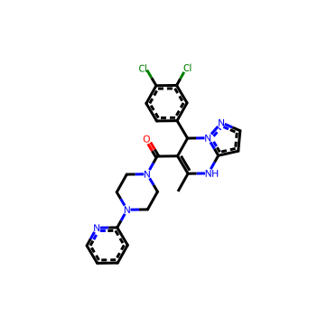 CC1=C(C(=O)N2CCN(c3ccccn3)CC2)C(c2ccc(Cl)c(Cl)c2)n2nccc2N1